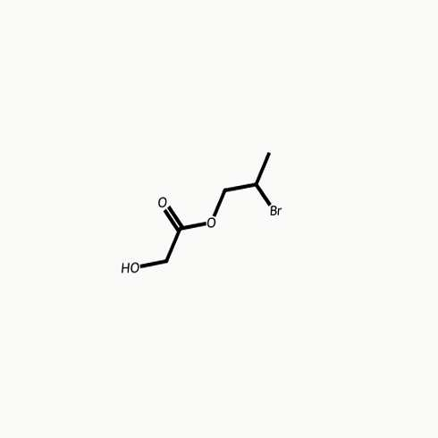 CC(Br)COC(=O)CO